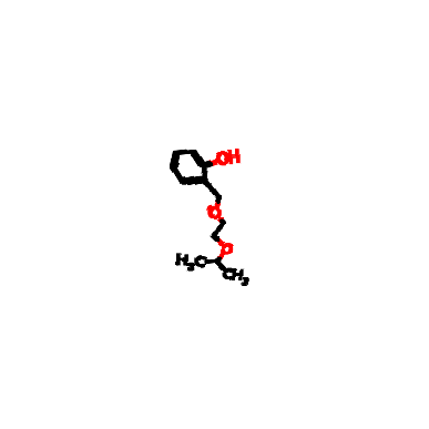 CC(C)OCCOCc1ccccc1O